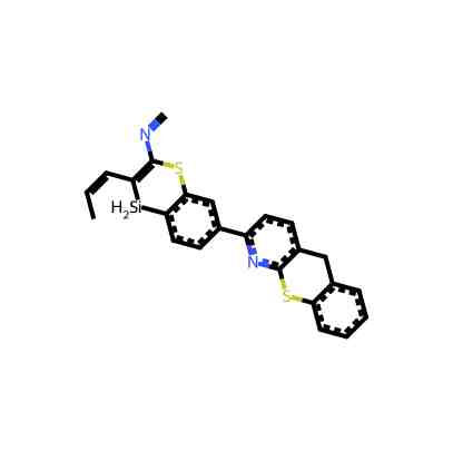 C=NC1=C(/C=C\C)[SiH2]c2ccc(-c3ccc4c(n3)Sc3ccccc3C4)cc2S1